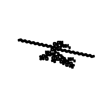 CCCCCCCCCCCCCCCCCC[N+](CCCCCCCCCCCCCCCCCC)(C(=O)[C@H](CCCN(CCC(N)C(=O)OC(C)(C)C)C(=O)OC(C)(C)C)N(CCC(N)C(=O)OC(C)(C)C)C(=O)OC(C)(C)C)[C@@H](CC(N)=O)C(=O)O